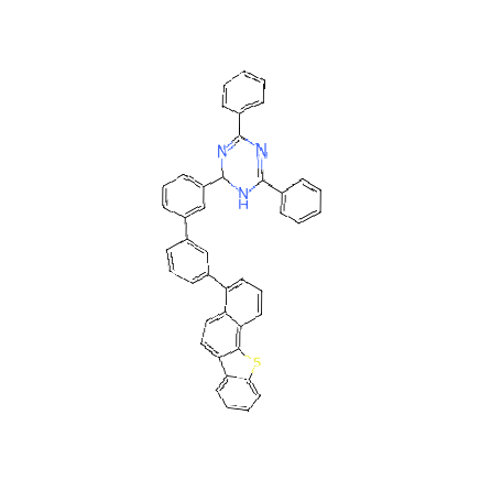 c1ccc(C2=NC(c3cccc(-c4cccc(-c5cccc6c5ccc5c7ccccc7sc65)c4)c3)NC(c3ccccc3)=N2)cc1